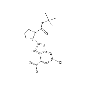 CC(C)(C)OC(=O)N1CCC[C@H]1c1cc2cc(Cl)cc([N+](=O)[O-])c2[nH]1